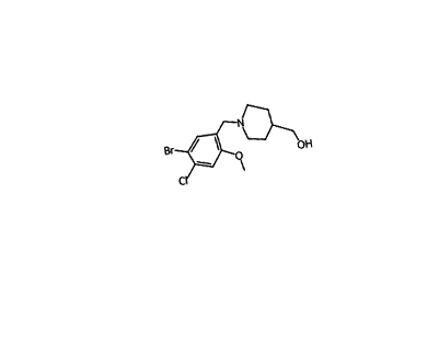 COc1cc(Cl)c(Br)cc1CN1CCC(CO)CC1